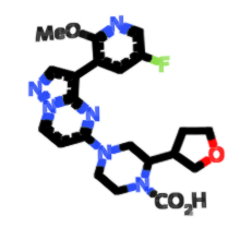 COc1ncc(F)cc1-c1cnn2ccc(N3CCN(C(=O)O)C(C4CCOC4)C3)nc12